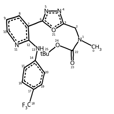 CN(Cc1nnc(-c2cccnc2Nc2ccc(C(F)(F)F)cc2)o1)C(=O)OC(C)(C)C